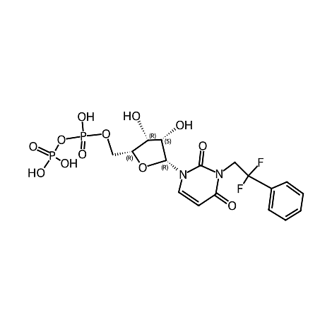 O=c1ccn([C@@H]2O[C@H](COP(=O)(O)OP(=O)(O)O)[C@H](O)[C@@H]2O)c(=O)n1CC(F)(F)c1ccccc1